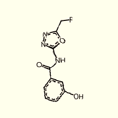 O=C(Nc1nnc(CF)o1)c1cccc(O)c1